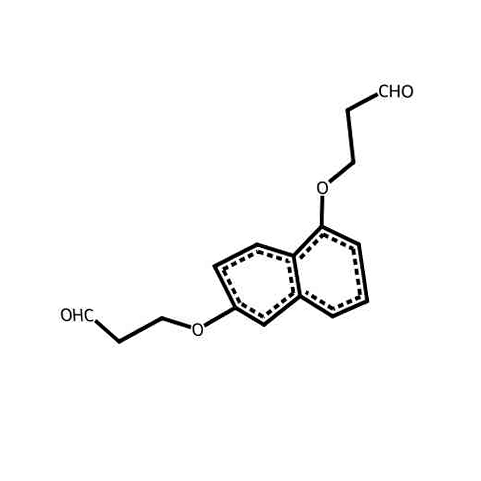 O=CCCOc1ccc2c(OCCC=O)cccc2c1